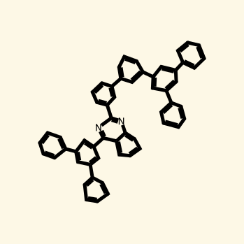 c1ccc(-c2cc(-c3ccccc3)cc(-c3cccc(-c4cccc(-c5nc(-c6cc(-c7ccccc7)cc(-c7ccccc7)c6)c6ccccc6n5)c4)c3)c2)cc1